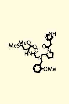 COC(=O)[C@H](CCSC)NC(=O)CN(Cc1ccccc1OC)C[C@@H]1CCCN1C(=O)Cc1c[nH]cn1